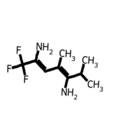 CC(/C=C(\N)C(F)(F)F)=C(/N)C(C)C